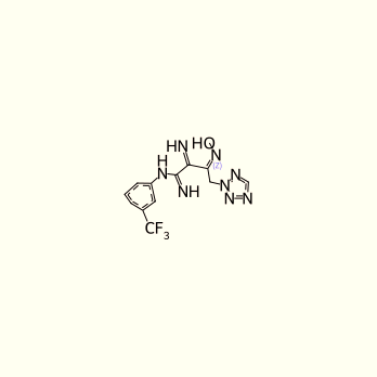 N=C(Nc1cccc(C(F)(F)F)c1)C(=N)/C(Cn1ncnn1)=N\O